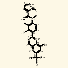 Cc1c(N(C)C(=O)c2ccnn2C)ccc(-c2ncc3nc(C(F)(F)F)cc(C)c3n2)c1F